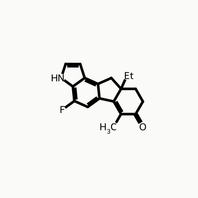 CCC12CCC(=O)C(C)=C1c1cc(F)c3[nH]ccc3c1C2